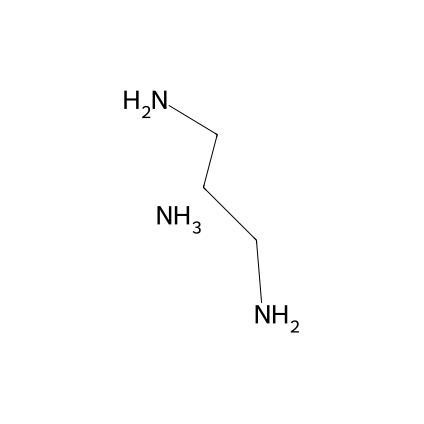 N.NCCCN